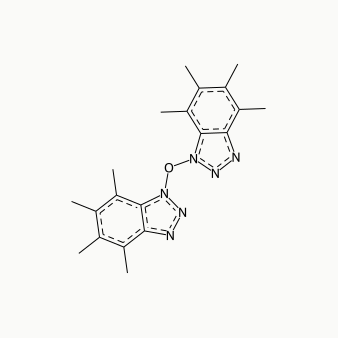 Cc1c(C)c(C)c2c(nnn2On2nnc3c(C)c(C)c(C)c(C)c32)c1C